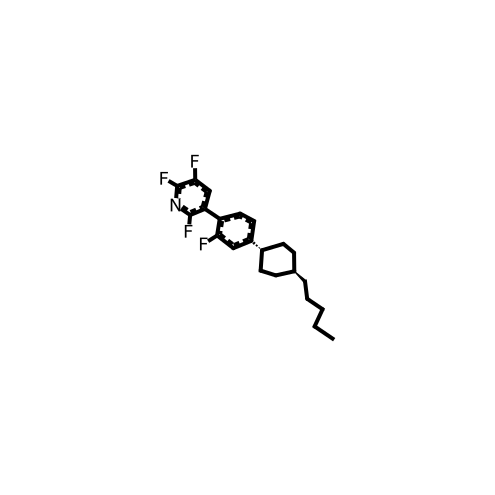 CCCCC[C@H]1CC[C@H](c2ccc(-c3cc(F)c(F)nc3F)c(F)c2)CC1